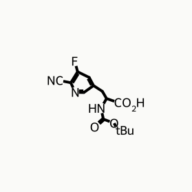 CC(C)(C)OC(=O)NC(Cc1cnc(C#N)c(F)c1)C(=O)O